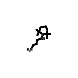 CC1(C)CCCC(C)(C)N1NCCCN